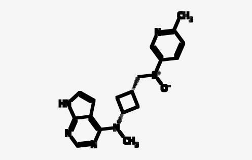 Cc1ccc([S+]([O-])C[C@H]2C[C@@H](N(C)c3ncnc4[nH]ccc34)C2)cn1